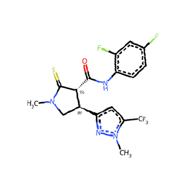 CN1C[C@H](c2cc(C(F)(F)F)n(C)n2)[C@@H](C(=O)Nc2ccc(F)cc2F)C1=S